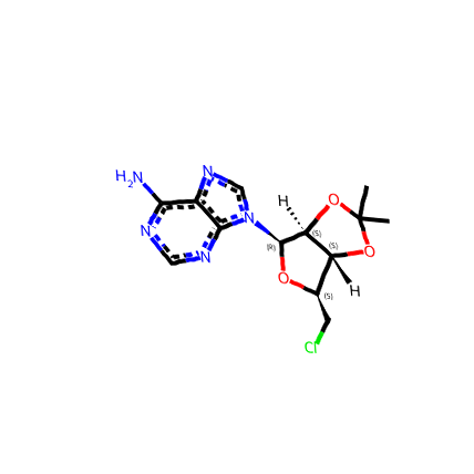 CC1(C)O[C@H]2[C@H](O1)[C@@H](CCl)O[C@H]2n1cnc2c(N)ncnc21